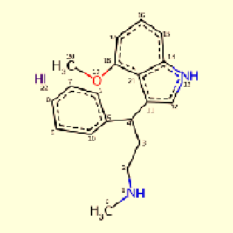 CNCCC(c1ccccc1)c1c[nH]c2cccc(OC)c12.I